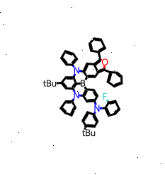 CC(C)(C)c1ccc(N(c2ccc3c(c2)N(c2ccccc2)c2cc(C(C)(C)C)cc4c2B3c2cc3c(-c5ccccc5)oc(-c5ccccc5)c3cc2N4c2ccccc2)c2ccccc2F)cc1